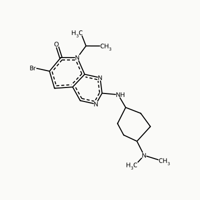 CC(C)n1c(=O)c(Br)cc2cnc(NC3CCC(N(C)C)CC3)nc21